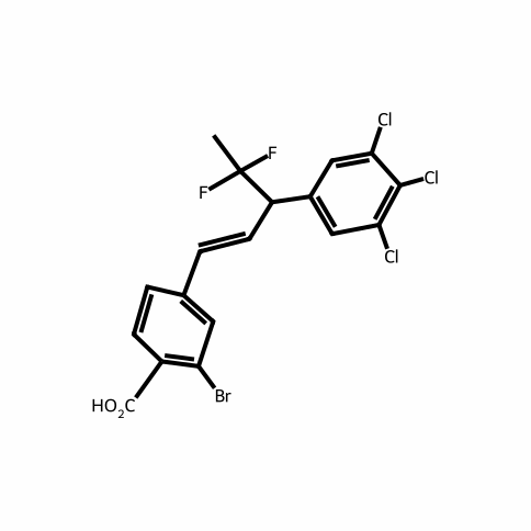 CC(F)(F)C(/C=C/c1ccc(C(=O)O)c(Br)c1)c1cc(Cl)c(Cl)c(Cl)c1